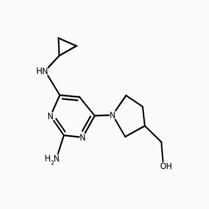 Nc1nc(NC2CC2)cc(N2CCC(CO)C2)n1